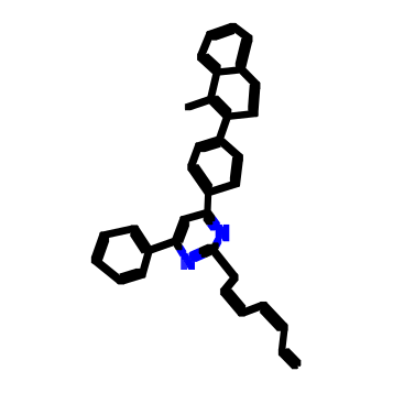 C=C/C=C\C=C/Cc1nc(-c2ccccc2)cc(-c2ccc(-c3ccc4ccccc4c3C)cc2)n1